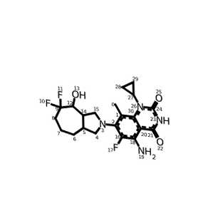 Cc1c(N2CC3CCCC(F)(F)C(O)C3C2)c(F)c(N)c2c(=O)[nH]c(=O)n(C3CC3)c12